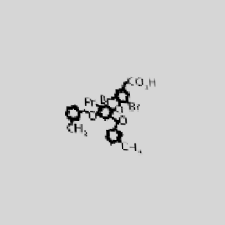 Cc1cccc(COc2cc(C(=O)c3cccc(C)c3)c(Oc3c(Br)cc(CC(=O)O)cc3Br)cc2C(C)C)c1